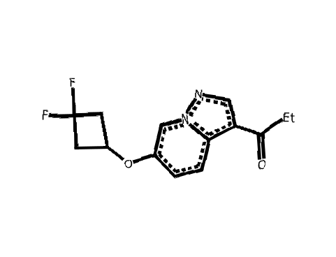 CCC(=O)c1cnn2cc(OC3CC(F)(F)C3)ccc12